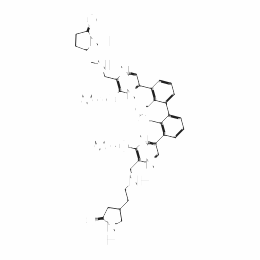 COc1nc(-c2cccc(-c3cccc(-c4cnc(CNC[C@@H]5CCC(=O)N5)c(OC)n4)c3Cl)c2Cl)cnc1CNCCC1CNC(=O)C1